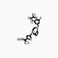 CCc1nc2c(F)cc(CN3CCN(c4ccc(C(=O)NC)nc4)C4CCC43)cc2[nH]c1=O